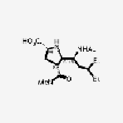 CCC(CC)C[C@H](NC(C)=O)[C@@H]1N[C@@H](C(=O)O)C[C@H]1C(=O)NC